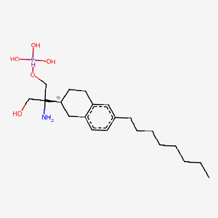 CCCCCCCCc1ccc2c(c1)CC[C@H](C(N)(CO)CO[PH](O)(O)O)C2